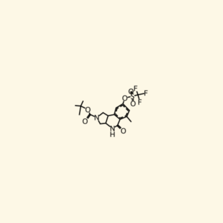 Cc1cc(OS(=O)(=O)C(F)(F)F)cc2c1C(=O)NC1CN(C(=O)OC(C)(C)C)CC21